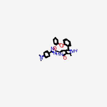 Cc1[nH]c(-c2ccccc2Oc2ccccc2)c2cc(-c3nc(-c4ccc(N(C)C)cc4)no3)[nH]c(=O)c12